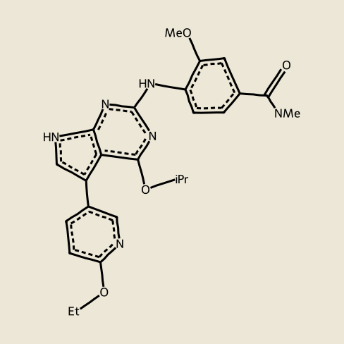 CCOc1ccc(-c2c[nH]c3nc(Nc4ccc(C(=O)NC)cc4OC)nc(OC(C)C)c23)cn1